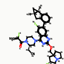 C=C(F)C(=O)N1CCN(c2nc(OC[C@@]34CCCN3C[C@H](F)C4)nc3cc(-c4cccc5c4C[C@H]4C[C@@H]54)c(F)cc23)C[C@@H]1CC#N